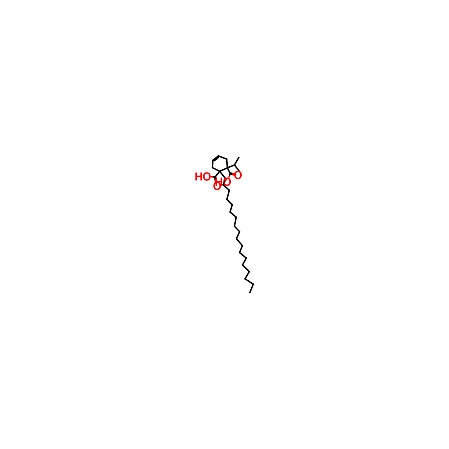 CCCCCCCCCCCCCCCCCCC1(C(=O)O)CC=CCC1(C(=O)O)C(C)C